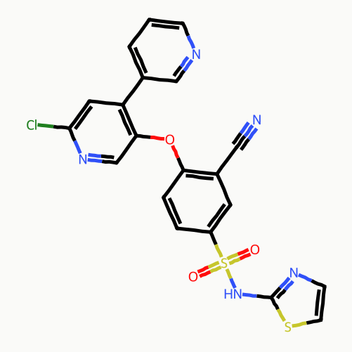 N#Cc1cc(S(=O)(=O)Nc2nccs2)ccc1Oc1cnc(Cl)cc1-c1cccnc1